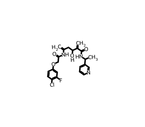 C=C(CC(O)C(=C)C(=O)NC(C)c1cccnc1)NC(=O)COc1ccc(Cl)c(F)c1